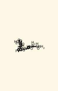 CC[C@@]1(O)C(=O)OCc2c1cc1n(c2=O)Cc2c-1nc1cc(F)c(C)c3c1c2[C@@H](NC(=O)OCc1ccc(NC(=O)[C@@H](N)CCCNC(N)=O)cc1)CC3